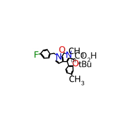 Cc1ccc(-c2c([C@H](OC(C)(C)C)C(=O)O)n(C)c(=O)c3c2ccn3Cc2ccc(F)cc2)cc1